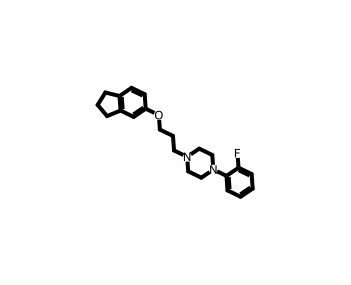 Fc1ccccc1N1CCN(CCCOc2ccc3c(c2)CCC3)CC1